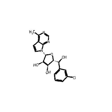 Cc1ncnc2c1ccn2[C@@H]1O[C@H](C(O)c2cccc(Cl)c2)[C@@H](O)[C@H]1O